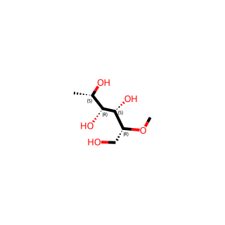 CO[C@H](CO)[C@@H](O)[C@H](O)[C@H](C)O